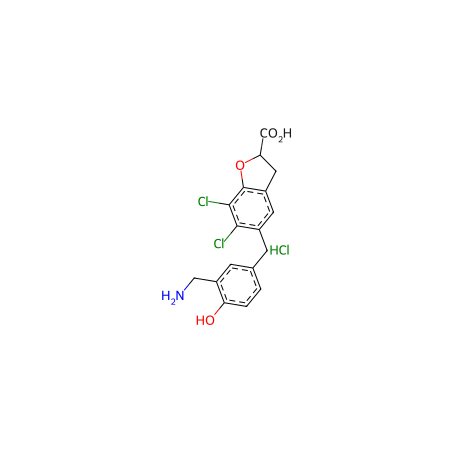 Cl.NCc1cc(Cc2cc3c(c(Cl)c2Cl)OC(C(=O)O)C3)ccc1O